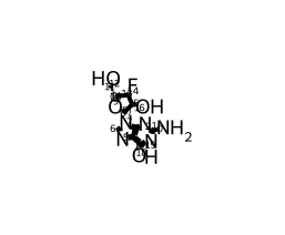 Nc1nc2c(ncn2[C@@H]2O[C@H](CO)C(F)C2O)c(=O)[nH]1